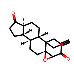 C#CCC12CCC(=O)C3O[C@@]31CC[C@@H]1[C@@H]2CC[C@]2(C)C(=O)CC[C@@H]12